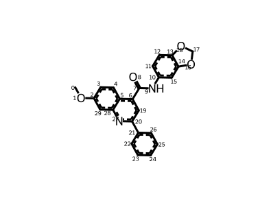 COc1ccc2c(C(=O)Nc3ccc4c(c3)OCO4)cc(-c3ccccc3)nc2c1